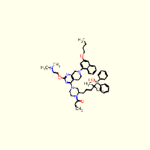 C=CC(=O)N1CCN(c2nc(OCCN(C)C)nc3c2CCN(c2cc(OCCCC)cc4ccccc24)C3)CC1CCCC(C)(C)[Si](O)(c1ccccc1)c1ccccc1